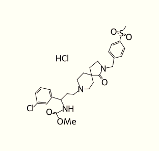 COC(=O)NC(CCN1CCC2(CC1)CCN(Cc1ccc(S(C)(=O)=O)cc1)C2=O)c1cccc(Cl)c1.Cl